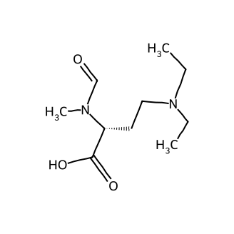 CCN(CC)CC[C@H](C(=O)O)N(C)C=O